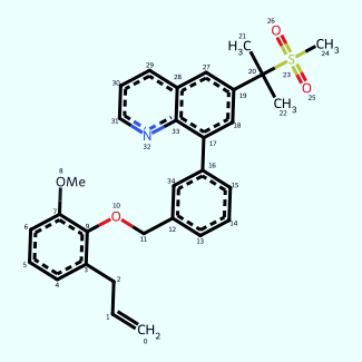 C=CCc1cccc(OC)c1OCc1cccc(-c2cc(C(C)(C)S(C)(=O)=O)cc3cccnc23)c1